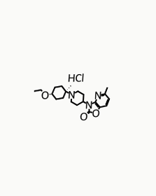 CCO[C@H]1CC[C@](C)(N2CCC(n3c(=O)oc4ccc(C)nc43)CC2)CC1.Cl